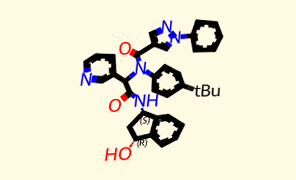 CC(C)(C)c1ccc(N(C(=O)c2cnn(-c3ccccc3)c2)C(C(=O)N[C@H]2C[C@@H](O)c3ccccc32)c2cccnc2)cc1